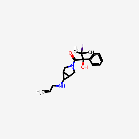 C=CCNC1C2CN(C(=O)C(O)(c3ccccc3)C(C)(C)I)CC21